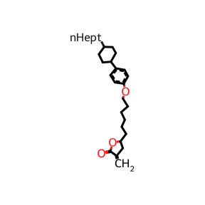 C=C1CC(CCCCCCOc2ccc(C3CCC(CCCCCCC)CC3)cc2)OC1=O